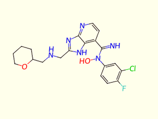 N=C(c1ccnc2nc(CNCC3CCCCO3)[nH]c12)N(O)c1ccc(F)c(Cl)c1